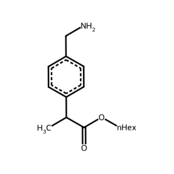 CCCCCCOC(=O)C(C)c1ccc(CN)cc1